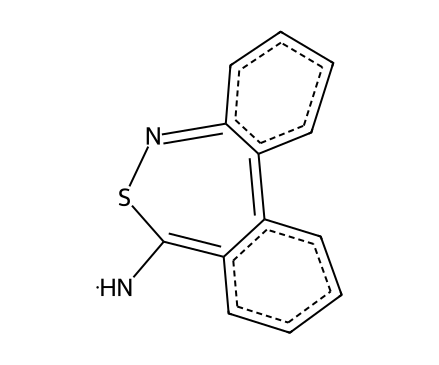 [NH]C1=c2ccccc2=c2ccccc2=NS1